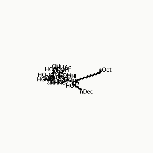 CCCCCCCC/C=C\CCCCCCCCCCCCCC(=O)N[C@@H](CO[C@@H]1OC(CO)[C@@H](O[C@@H]2OC(CO)[C@H](O[C@@H]3OC(CO[C@]4(C(=O)O)CC(O)[C@@H](NC(C)=O)C([C@H](O)[C@H](O)CO)O4)[C@H](O)[C@H](O)C3NC(C)=O)[C@H](O)C2O)[C@H](O)C1O)[C@H](O)/C=C/CCCCCCCCCCCCC